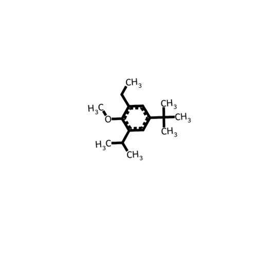 CCc1cc(C(C)(C)C)cc(C(C)C)c1OC